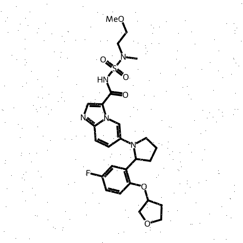 COCCN(C)S(=O)(=O)NC(=O)c1cnc2ccc(N3CCCC3c3cc(F)ccc3OC3CCOC3)cn12